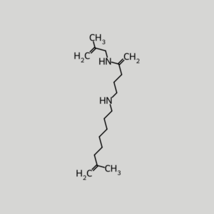 C=C(C)CCCCCCNCCCC(=C)NCC(=C)C